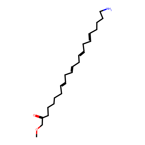 COCC(=O)CCCCCC=CCC=CCC=CCC=CCCCCN